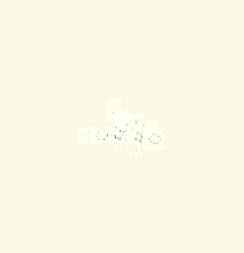 Cc1ccccc1N1NC(Cn2nc(-c3ccc(Cl)cc3)n(C[C@H](O)C(F)(F)F)c2=O)N=C1C(C)(F)F